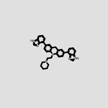 c1cc(-c2ccc3c(c2)Cc2cc(-c4cccc5[nH]cnc45)ccc2N3CCN2CCCCC2)c2nc[nH]c2c1